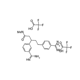 CNC(=O)CC(CCc1ccc(C(=N)N)cc1)c1cccc(C(=N)N)c1.O=C(O)C(F)(F)F.O=C(O)C(F)(F)F